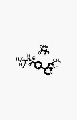 Cc1cc2c(-c3ccc(S(=O)(=O)NC(C)C)cc3)ccnc2[nH]1.O=C(O)C(F)(F)F